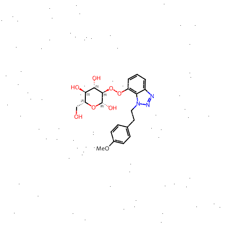 COc1ccc(CCn2nnc3cccc(OO[C@@H]4[C@@H](O)[C@H](O)[C@@H](CO)O[C@H]4O)c32)cc1